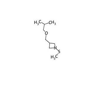 CSN1CC(COCC(C)C)C1